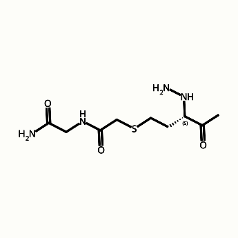 CC(=O)[C@H](CCSCC(=O)NCC(N)=O)NN